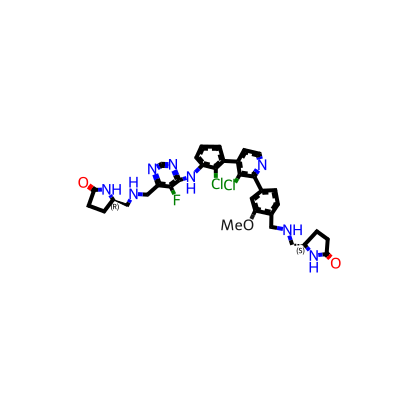 COc1cc(-c2nccc(-c3cccc(Nc4ncnc(CNC[C@H]5CCC(=O)N5)c4F)c3Cl)c2Cl)ccc1CNC[C@@H]1CCC(=O)N1